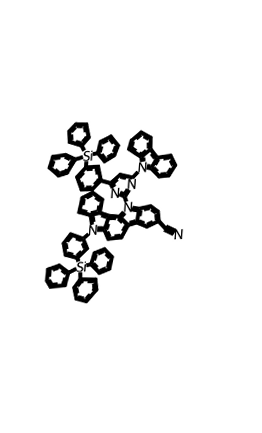 N#Cc1ccc2c(c1)c1ccc3c(c4ccccc4n3-c3cccc([Si](c4ccccc4)(c4ccccc4)c4ccccc4)c3)c1n2-c1nc(-c2cccc([Si](c3ccccc3)(c3ccccc3)c3ccccc3)c2)cc(-n2c3ccccc3c3ccccc32)n1